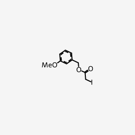 COc1cccc(COC(=O)CI)c1